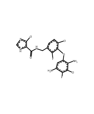 Nc1cc(Oc2c(Cl)ccc(CNC(=O)c3[nH]cnc3Cl)c2F)c(N)c(Cl)c1F